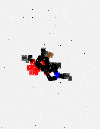 COc1cc(Br)c2c(c1O)[C@]13CCN(C)[C@H](C2)[C@@H]1CC(OC)C(O)C3